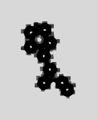 c1ccc2cc(-n3c4ccccc4c4cc(-c5ccc6c(c5)c5cccc7c8cccc9sc%10cccc(c%11ccccc%11n6c75)c%10c98)ccc43)ccc2c1